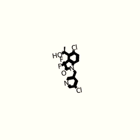 C[C@H](O)c1c(Cl)ccc2c1C(F)(F)C(=O)N2Cc1cncc(Cl)c1